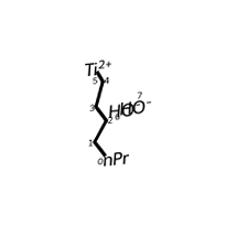 CCCCCC[CH2][Ti+2].[OH-].[OH-]